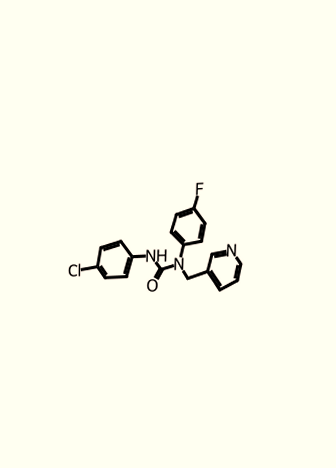 O=C(Nc1ccc(Cl)cc1)N(Cc1cccnc1)c1ccc(F)cc1